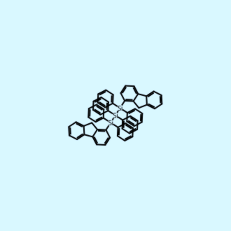 c1ccc([Si](c2ccccc2)(c2cccc3c2Cc2ccccc2-3)[Si](c2ccccc2)(c2ccccc2)[Si](c2ccccc2)(c2ccccc2)c2cccc3c2Cc2ccccc2-3)cc1